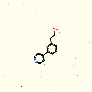 OCCc1cccc(-c2ccncc2)c1